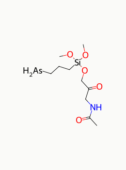 CO[Si](CCC[AsH2])(OC)OCC(=O)CNC(C)=O